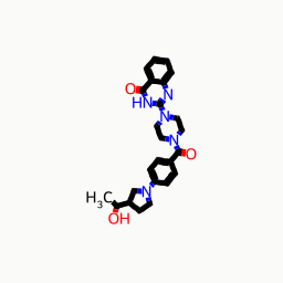 CC(O)C1CCN(c2ccc(C(=O)N3CCN(c4nc5ccccc5c(=O)[nH]4)CC3)cc2)C1